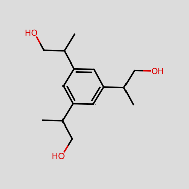 CC(CO)c1[c]c(C(C)CO)cc(C(C)CO)c1